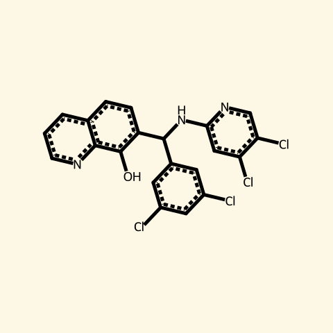 Oc1c(C(Nc2cc(Cl)c(Cl)cn2)c2cc(Cl)cc(Cl)c2)ccc2cccnc12